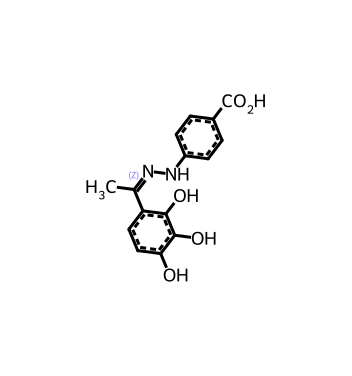 C/C(=N/Nc1ccc(C(=O)O)cc1)c1ccc(O)c(O)c1O